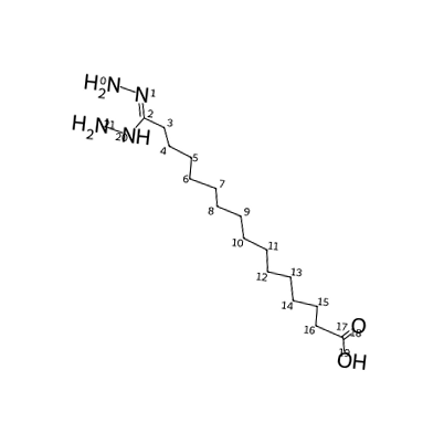 N/N=C(/CCCCCCCCCCCCCCC(=O)O)NN